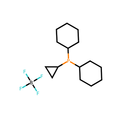 C1CCC(P(C2CCCCC2)C2CC2)CC1.F[B-](F)(F)F